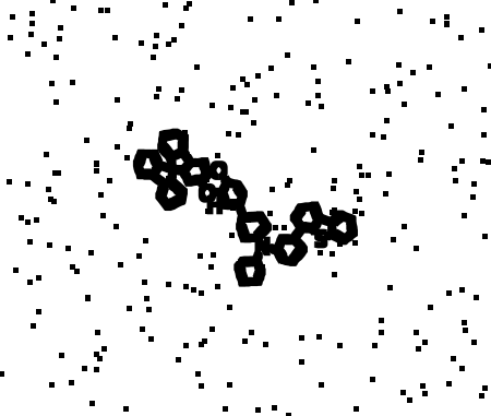 C1=CC2OC3=CC4c5ccccc5C5(c6ccccc6-c6ccccc65)C4C=C3O[C@@H]2C=C1c1ccc(N(c2ccccc2)c2cccc(-c3cccc4c3sc3ccccc34)c2)cc1